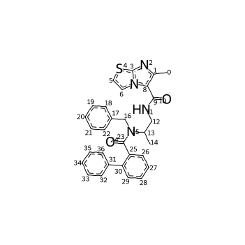 Cc1nc2sccn2c1C(=O)NCC(C)N(Cc1ccccc1)C(=O)c1ccccc1-c1ccccc1